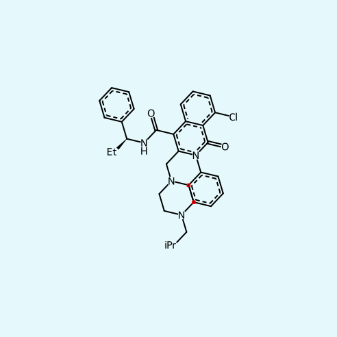 CC[C@H](NC(=O)c1c(CN2CCN(CC(C)C)CC2)n(-c2ccccc2)c(=O)c2c(Cl)cccc12)c1ccccc1